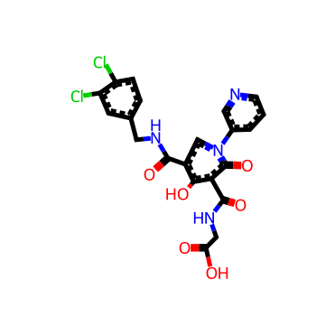 O=C(O)CNC(=O)c1c(O)c(C(=O)NCc2ccc(Cl)c(Cl)c2)cn(-c2cccnc2)c1=O